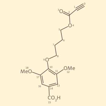 C#CC(=O)OCCCCOc1c(OC)cc(C(=O)O)cc1OC